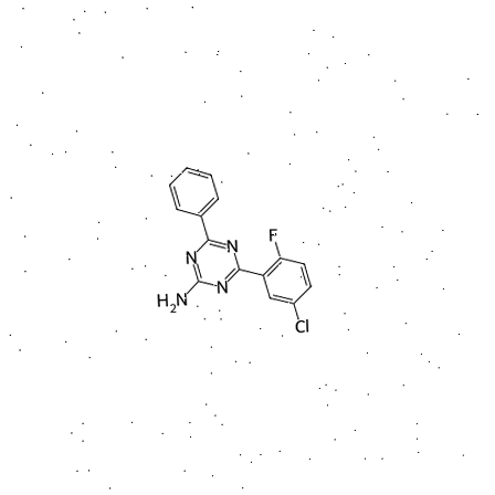 Nc1nc(-c2ccccc2)nc(-c2cc(Cl)ccc2F)n1